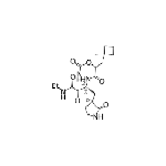 CCNC(=O)C(=O)[C@H](C[C@@H]1CCNC1=O)NC(=O)C(CC1(C)CCC1)OC(N)=O